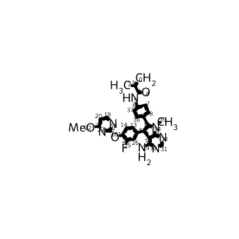 C=C(C)C(=O)Nc1ccc(-c2c(-c3ccc(Oc4nccc(OC)n4)c(F)c3)c3c(N)ncnc3n2C)cc1